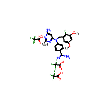 CCOc1cc(CN(c2ccc(C(=N)N)cc2)c2cc(N)nc(SC)n2)c(F)c(OC(C)C)c1.O=C(O)C(F)(F)F.O=C(O)C(F)(F)F.O=C(O)C(F)(F)F